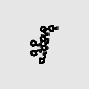 Clc1ccc(C2C3CCC(C3)C2Nc2ncnc3c2ncn3[C@@H]2O[C@H](COCc3ccccc3)[C@@H](OCc3ccccc3)[C@H]2OCc2ccccc2)cc1